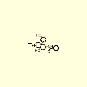 C=CCN1CCC2(c3cccc(O)c3)C[C@@H](NC(=O)c3ccccc3)CCC2(O)C1